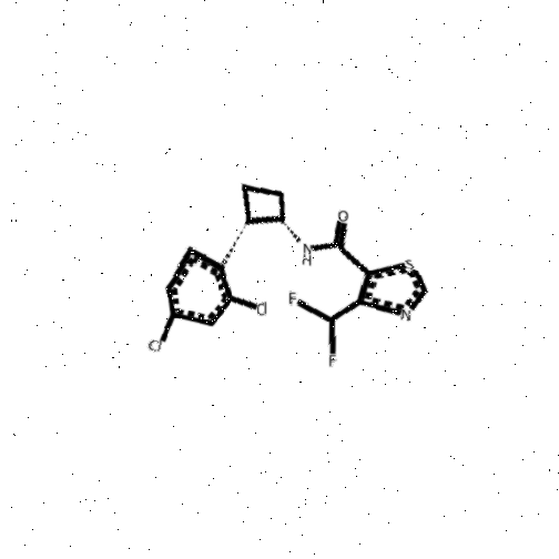 O=C(N[C@H]1CC[C@H]1c1ccc(Cl)cc1Cl)c1scnc1C(F)F